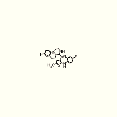 Cc1cc2c(s1)Nc1ccc(F)cc1N=C2C1NCCNC1CCc1cccc(F)c1